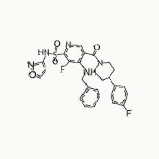 O=C(c1cnc(S(=O)(=O)Nc2ccon2)c(F)c1NCc1ccccc1)N1CCC(c2ccc(F)cc2)CC1